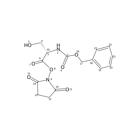 O=C(N[C@@H](CO)C(=O)ON1C(=O)CCC1=O)OCc1ccccc1